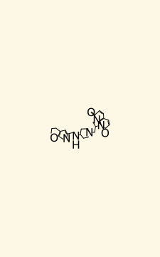 O=c1ccc2ccc(=O)n3c2n1CC3CN1CCC(NCc2cc3c(cn2)OCCC3)CC1